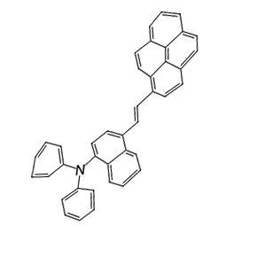 C(=Cc1ccc2ccc3cccc4ccc1c2c34)c1ccc(N(c2ccccc2)c2ccccc2)c2ccccc12